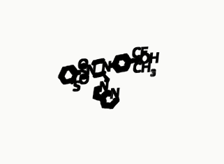 C[C@@](O)(c1ccc(N2CCN(S(=O)(=O)C3=CC=CCC3=S)C[C@@H]2Cn2ccc3cccnc32)cc1)C(F)(F)F